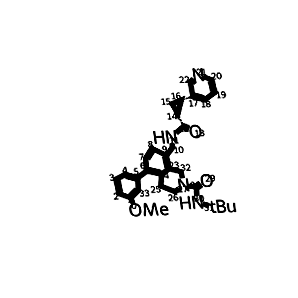 COc1cccc(-c2ccc(CNC(=O)[C@@H]3C[C@@H]3c3cccnc3)c3c2CCN(C(=O)NC(C)(C)C)C3)c1